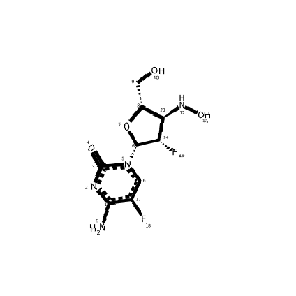 Nc1nc(=O)n([C@@H]2O[C@H](CO)[C@@H](NO)[C@@H]2F)cc1F